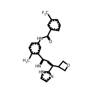 Cc1ccc(NC(=O)c2cccc(C(F)(F)F)c2)cc1C(=N)/C=C(\c1ncc[nH]1)C1COC1